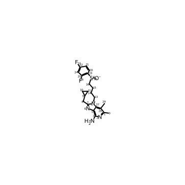 Cc1nc(N)c2nc(CC3CC3)n(CCCC[S+]([O-])c3ccc(F)cc3F)c2c1C